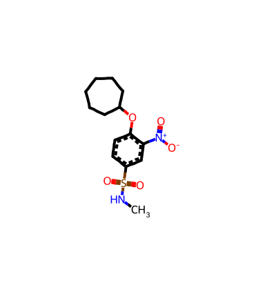 CNS(=O)(=O)c1ccc(OC2CCCCCC2)c([N+](=O)[O-])c1